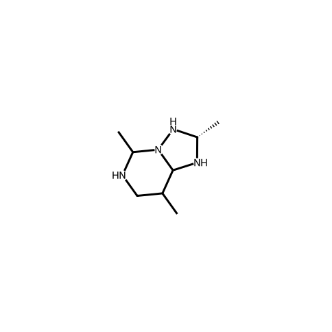 CC1CNC(C)N2N[C@H](C)NC12